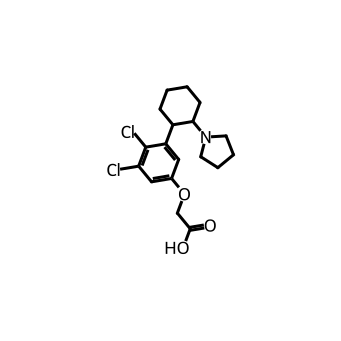 O=C(O)COc1cc(Cl)c(Cl)c(C2CCCCC2N2CCCC2)c1